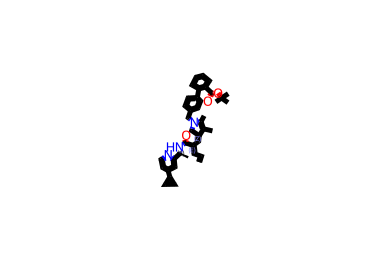 C=C/C=C(\C=C1/CN(Cc2ccc(-c3ccccc3C(=O)OC(C)(C)C)cc2)C(C)=C1C)C(=O)N[C@@H](C)c1cc(C2CC2)ccn1